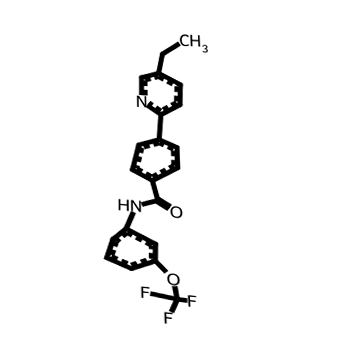 CCc1ccc(-c2ccc(C(=O)Nc3cccc(OC(F)(F)F)c3)cc2)nc1